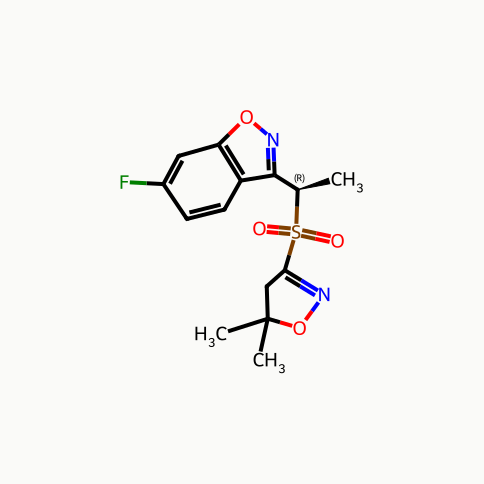 C[C@H](c1noc2cc(F)ccc12)S(=O)(=O)C1=NOC(C)(C)C1